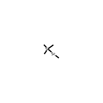 [CH3][Sc][Si](C)(C)C